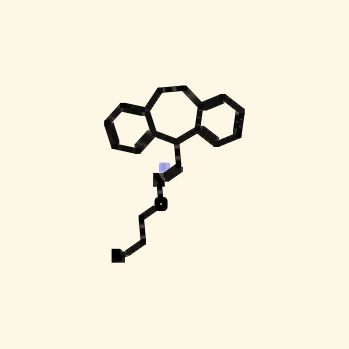 BrCCO/N=C/C1c2ccccc2CCc2ccccc21